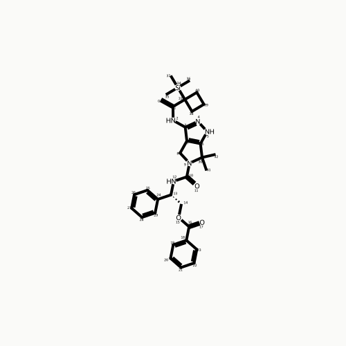 C=C(Nc1n[nH]c2c1CN(C(=O)N[C@H](COC(=O)c1ccccc1)c1ccccc1)C2(C)C)C1([Si](C)(C)C)CCC1